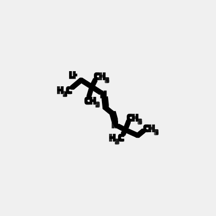 CCC(C)(C)N=CC=NC(C)(C)CC.[Li]